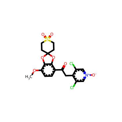 COc1ccc(C(=O)Cc2c(Cl)c[n+]([O-])cc2Cl)c2c1OC1(CCS(=O)(=O)CC1)O2